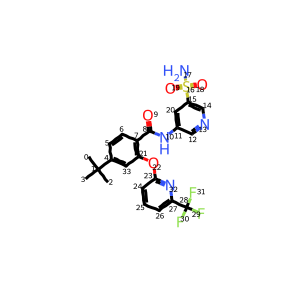 CC(C)(C)c1ccc(C(=O)Nc2cncc(S(N)(=O)=O)c2)c(Oc2cccc(C(F)(F)F)n2)c1